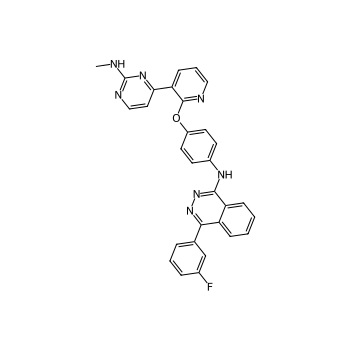 CNc1nccc(-c2cccnc2Oc2ccc(Nc3nnc(-c4cccc(F)c4)c4ccccc34)cc2)n1